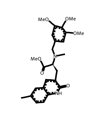 COC(=O)[C@H](Cc1cc2cc(C)ccc2[nH]c1=O)N(C)Cc1cc(OC)c(OC)c(OC)c1